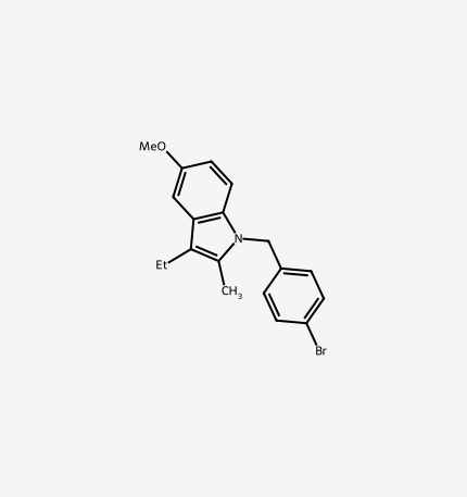 CCc1c(C)n(Cc2ccc(Br)cc2)c2ccc(OC)cc12